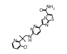 CC(C)(CNc1ccc(-c2cn3c(C(N)=O)csc3n2)nn1)c1ncccc1Cl